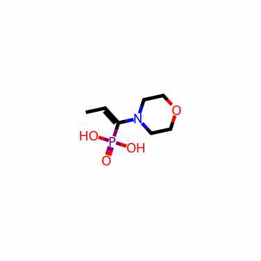 CC=C(N1CCOCC1)P(=O)(O)O